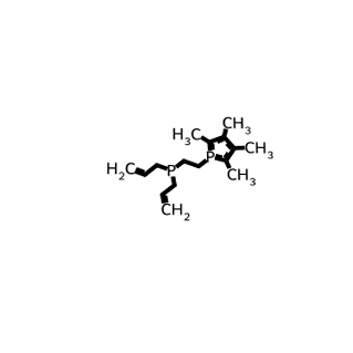 C=CCP(CC=C)CCp1c(C)c(C)c(C)c1C